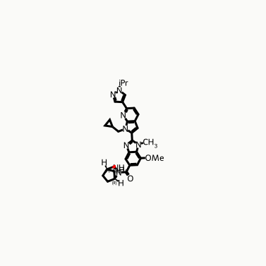 COc1cc(C(=O)N2C[C@H]3CC[C@@H]2[C@@H]3N)cc2nc(-c3cc4ccc(-c5cnn(C(C)C)c5)nc4n3CC3CC3)n(C)c12